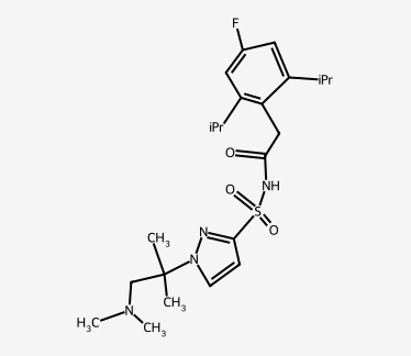 CC(C)c1cc(F)cc(C(C)C)c1CC(=O)NS(=O)(=O)c1ccn(C(C)(C)CN(C)C)n1